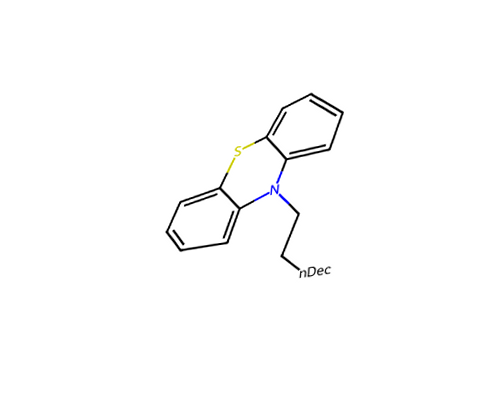 CCCCCCCCCCCCN1c2ccccc2Sc2ccccc21